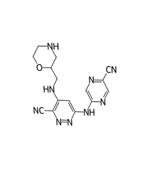 N#Cc1cnc(Nc2cc(NCC3CNCCO3)c(C#N)nn2)cn1